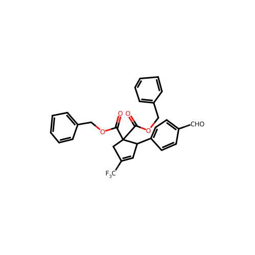 O=Cc1ccc(C2C=C(C(F)(F)F)CC2(C(=O)OCc2ccccc2)C(=O)OCc2ccccc2)cc1